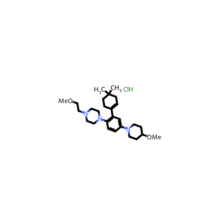 COCCN1CCN(c2ccc(N3CCC(OC)CC3)cc2C2=CCC(C)(C)CC2)CC1.Cl